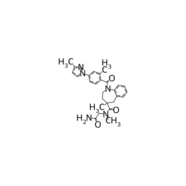 Cc1ccn(-c2ccc(C(=O)N3CCC(C)(C(=O)N(C)CC(N)=O)Cc4ccccc43)c(C)c2)n1